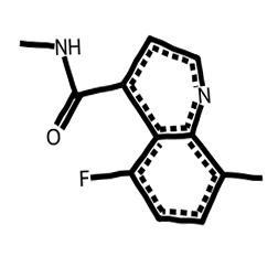 CNC(=O)c1ccnc2c(C)ccc(F)c12